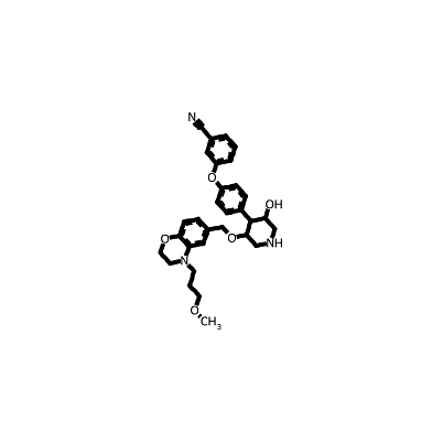 COCCCN1CCOc2ccc(COC3CNCC(O)C3c3ccc(Oc4cccc(C#N)c4)cc3)cc21